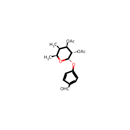 CC(=O)O[C@@H]1[C@H](Oc2ccc(C=O)cc2)O[C@@H](C)[C@@H](C)[C@H]1OC(C)=O